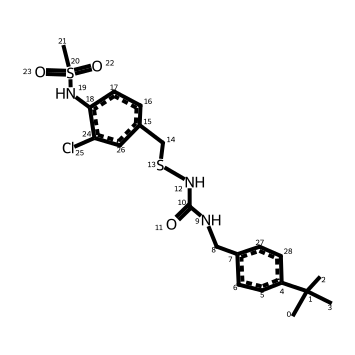 CC(C)(C)c1ccc(CNC(=O)NSCc2ccc(NS(C)(=O)=O)c(Cl)c2)cc1